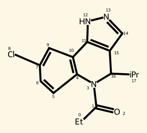 CCC(=O)N1c2ccc(Cl)cc2-c2[nH]ncc2C1C(C)C